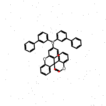 c1ccc(-c2cccc(N(c3cccc(-c4ccccc4)c3)c3ccc4c(c3)Oc3ccccc3C43c4ccccc4Oc4ccccc43)c2)cc1